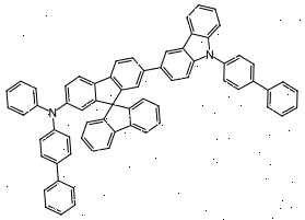 c1ccc(-c2ccc(N(c3ccccc3)c3ccc4c(c3)C3(c5ccccc5-c5ccccc53)c3cc(-c5ccc6c(c5)c5ccccc5n6-c5ccc(-c6ccccc6)cc5)ccc3-4)cc2)cc1